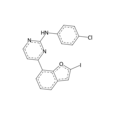 Clc1ccc(Nc2nccc(-c3cccc4cc(I)oc34)n2)cc1